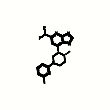 Cc1cccc(N2CC[C@@H](C)[C@H](c3cc(C(F)F)nc4ncnn34)C2)n1